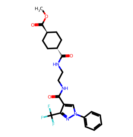 COC(=O)[C@H]1CC[C@H](C(=O)NCCNC(=O)c2cn(-c3ccccc3)nc2C(F)(F)F)CC1